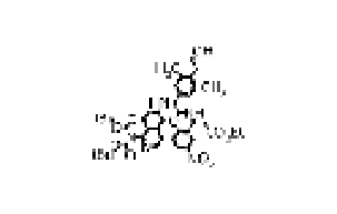 CCOC(=O)C[C@@H](NC(=O)C(Nc1ccc2c(N(C(=O)OC(C)(C)C)C(=O)OC(C)(C)C)nccc2c1)c1cc(C)c(CCO)c(C)c1)c1cccc([N+](=O)[O-])c1